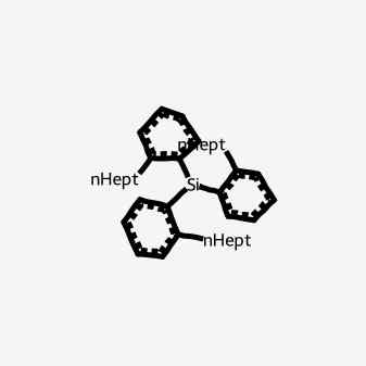 CCCCCCCc1ccccc1[Si](c1ccccc1CCCCCCC)c1ccccc1CCCCCCC